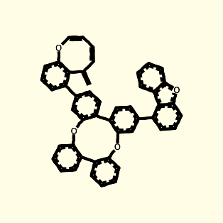 C=C1/C=C\C=C/Oc2cccc(-c3ccc4c(c3)Oc3ccccc3-c3ccccc3Oc3cc(-c5cccc6oc7ccccc7c56)ccc3-4)c21